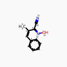 CC(=Cc1ccccc1)C(C#N)=NO